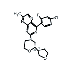 Cc1cnc2c(-c3ccc(Cl)cc3F)nc(N3CCO[C@H]([C@H]4CCOC4)C3)nc2n1